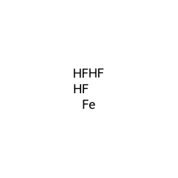 F.F.F.[Fe]